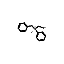 CC(C)C[N@+](C)(Cc1ccccc1)c1ccccc1